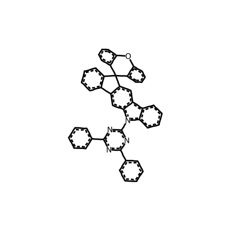 c1ccc(-c2nc(-c3ccccc3)nc(-n3c4ccccc4c4cc5c(cc43)-c3ccccc3C53c4ccccc4Oc4ccccc43)n2)cc1